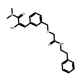 CN(C)C(=O)C(C#N)=Cc1cccc(COCC(=O)N[CH]Cc2ccccc2)c1